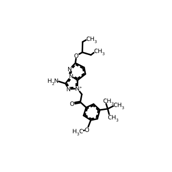 CCC(CC)Oc1ccc2n(n1)c(N)n[n+]2CC(=O)c1cc(OC)cc(C(C)(C)C)c1